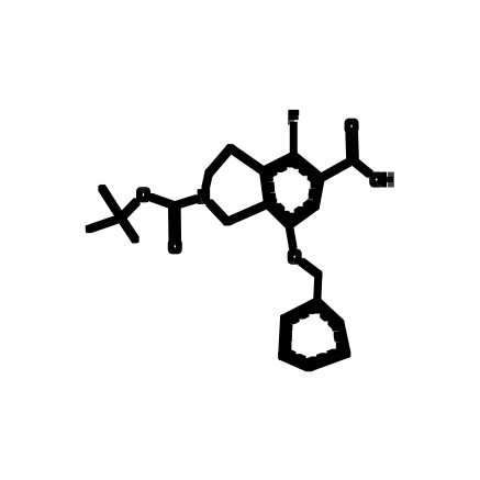 CC(C)(C)OC(=O)N1CCc2c(F)c(C(=O)O)cc(OCc3ccccc3)c2C1